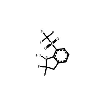 O=S(=O)(c1cc[c]c2c1[C@H](O)C(F)(F)C2)C(F)(F)F